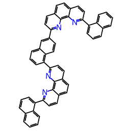 c1ccc2c(-c3ccc4ccc5ccc(-c6ccc7c(-c8ccc9ccc%10ccc(-c%11cccc%12ccccc%11%12)nc%10c9n8)cccc7c6)nc5c4n3)cccc2c1